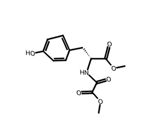 COC(=O)C(=O)N[C@H](Cc1ccc(O)cc1)C(=O)OC